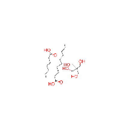 CCCCCCC(=O)O.CCCCCCCCCC(=O)O.OCC(CO)(CO)CO